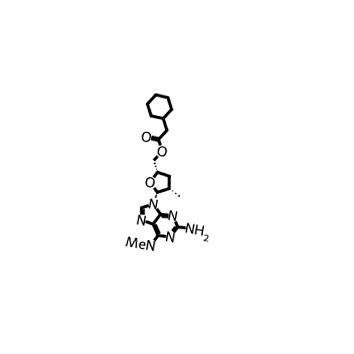 CNc1nc(N)nc2c1ncn2[C@@H]1O[C@H](COC(=O)CC2CCCCC2)C[C@@H]1C